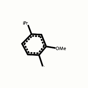 [CH2]c1ccc(C(C)C)cc1OC